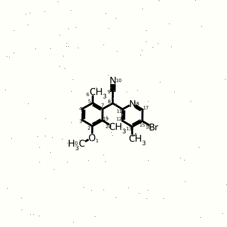 COc1ccc(C)c(C(C#N)c2cc(C)c(Br)cn2)c1C